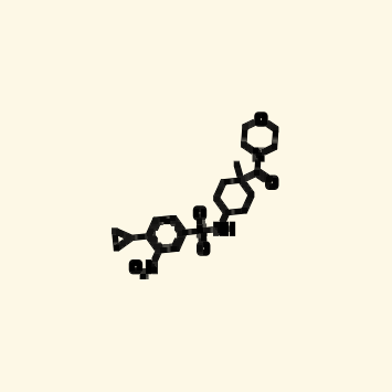 CC1(C(=O)N2CCOCC2)CCC(NS(=O)(=O)c2ccc(C3CC3)c([N+](=O)[O-])c2)CC1